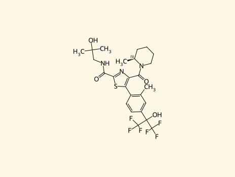 Cc1cc(C(O)(C(F)(F)F)C(F)(F)F)ccc1-c1sc(C(=O)NCC(C)(C)O)nc1C(=O)N1CCCC[C@@H]1C